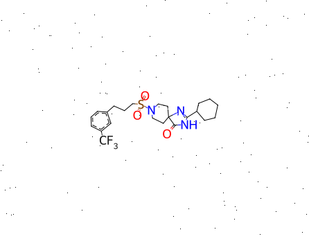 O=C1NC(C2CCCCC2)=NC12CCN(S(=O)(=O)CCCc1cccc(C(F)(F)F)c1)CC2